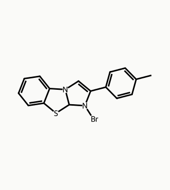 Cc1ccc(C2=CN3c4ccccc4SC3N2Br)cc1